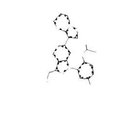 NCc1nn(-c2cc(Cl)ccc2OC(F)F)c2cc(-c3cnn4cccnc34)ncc12